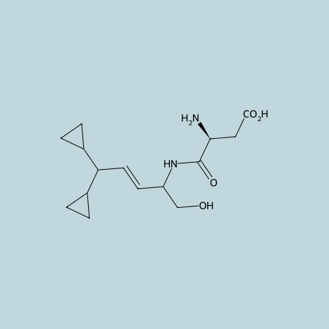 N[C@@H](CC(=O)O)C(=O)NC(C=CC(C1CC1)C1CC1)CO